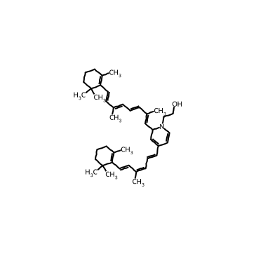 CC(C=CC1=C(C)CCCC1(C)C)=CC=CC(C)=CC1C=C(C=CC=C(C)C=CC2=C(C)CCCC2(C)C)C=CN1CCO